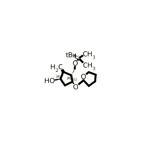 C=C1[C@H](O)C[C@H](OC2CCCCO2)[C@H]1CO[Si](C)(C)C(C)(C)C